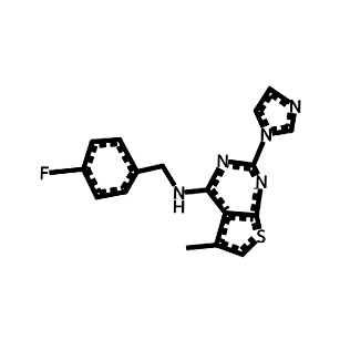 Cc1csc2nc(-n3ccnc3)nc(NCc3ccc(F)cc3)c12